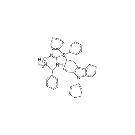 C/N=C(\NC(N)c1ccccc1)S(c1ccccc1)(c1ccccc1)C1C=Cc2c(c3ccccc3n2C2=CCCC=C2)C1